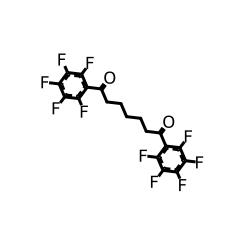 O=C(CCCCCC(=O)c1c(F)c(F)c(F)c(F)c1F)c1c(F)c(F)c(F)c(F)c1F